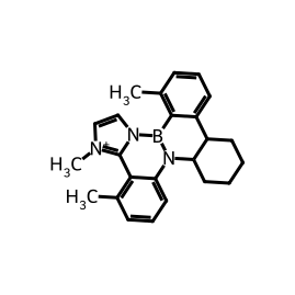 Cc1cccc2c1B1N(c3cccc(C)c3-c3n1cc[n+]3C)C1CCCCC21